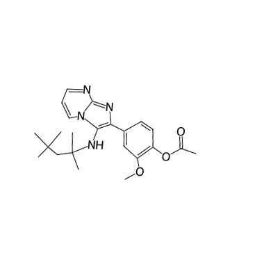 COc1cc(-c2nc3ncccn3c2NC(C)(C)CC(C)(C)C)ccc1OC(C)=O